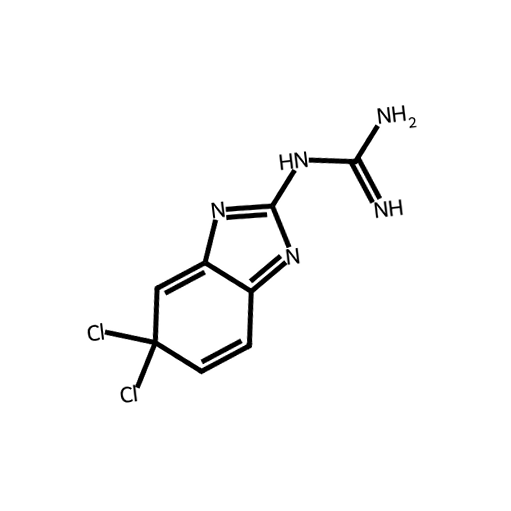 N=C(N)NC1=NC2=CC(Cl)(Cl)C=CC2=N1